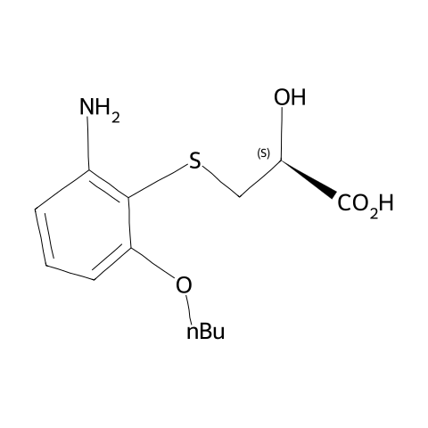 CCCCOc1cccc(N)c1SC[C@@H](O)C(=O)O